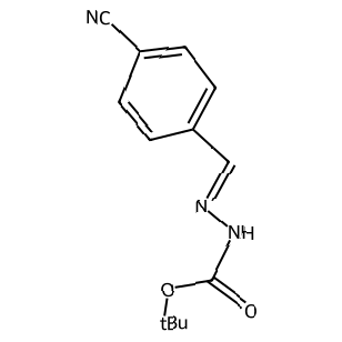 CC(C)(C)OC(=O)NN=Cc1ccc(C#N)cc1